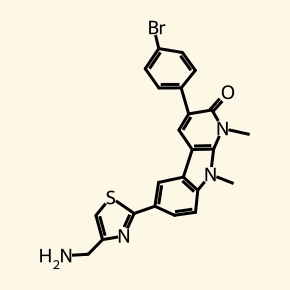 Cn1c(=O)c(-c2ccc(Br)cc2)cc2c3cc(-c4nc(CN)cs4)ccc3n(C)c21